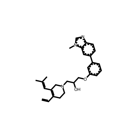 C=CC1=C(C=C(C)C)CN(CC(O)COc2cccc(-c3ccc4ncn(C)c4c3)c2)CC1